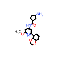 COc1cc(NC(=O)C2CC[C@H](N)C2)cc(-c2cccc3c2OCCO3)n1